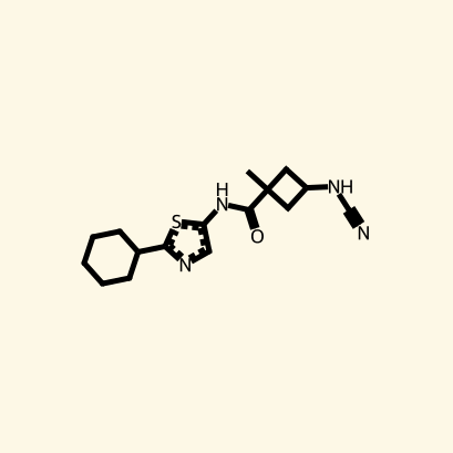 CC1(C(=O)Nc2cnc(C3CCCCC3)s2)CC(NC#N)C1